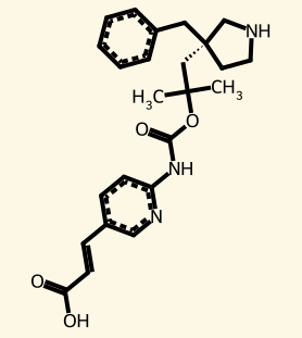 CC(C)(C[C@@]1(Cc2ccccc2)CCNC1)OC(=O)Nc1ccc(/C=C/C(=O)O)cn1